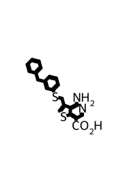 Nc1ncc(C(=O)O)c2scc(CSc3cccc(Cc4ccccc4)c3)c12